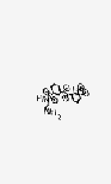 NCCNS(=O)(=O)c1cccc(S(=O)(=O)c2cccc([SH](=O)=O)c2)c1